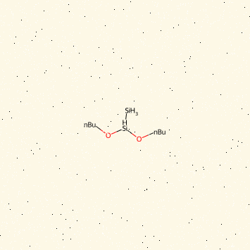 CCCCO[SiH]([SiH3])OCCCC